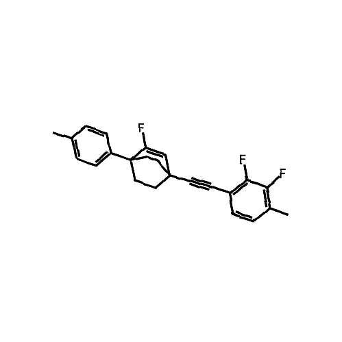 Cc1ccc(C23CCC(C#Cc4ccc(C)c(F)c4F)(C=C2F)CC3)cc1